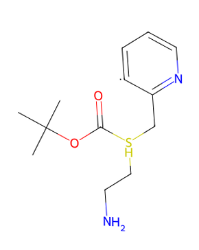 CC(C)(C)OC(=O)[SH](CCN)Cc1[c]cccn1